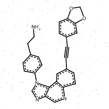 NCCc1ccc(-n2cnc3cnc4ccc(C#Cc5ccc6c(c5)OCO6)cc4c32)cc1